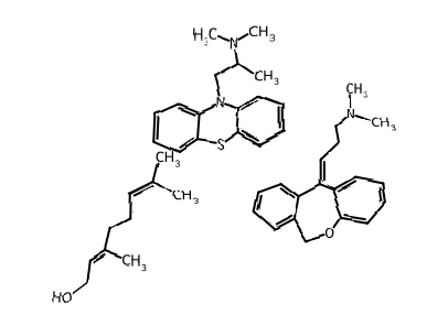 CC(C)=CCC/C(C)=C/CO.CC(CN1c2ccccc2Sc2ccccc21)N(C)C.CN(C)CCC=C1c2ccccc2COc2ccccc21